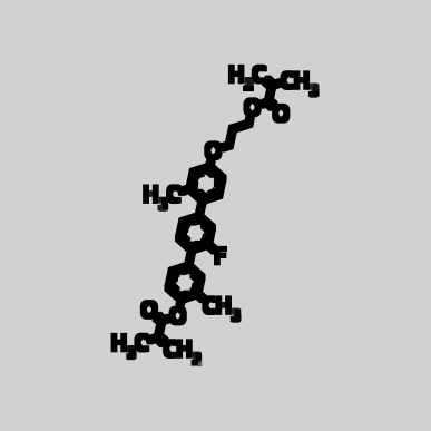 C=C(C)C(=O)OCCCOc1ccc(-c2ccc(-c3ccc(OC(=O)C(=C)C)c(C)c3)c(F)c2)c(C)c1